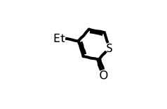 CCc1ccsc(=O)c1